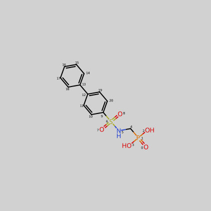 O=P(O)(O)CNS(=O)(=O)c1ccc(-c2ccccc2)cc1